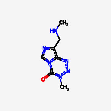 CNCc1ncn2c(=O)n(C)nnc12